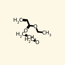 C=C.C=CC(=O)OCC.C=O